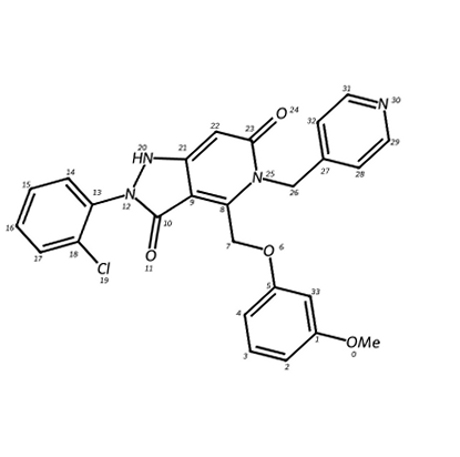 COc1cccc(OCc2c3c(=O)n(-c4ccccc4Cl)[nH]c3cc(=O)n2Cc2ccncc2)c1